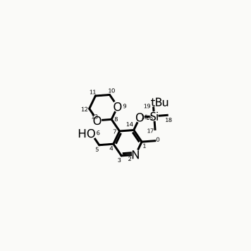 Cc1ncc(CO)c(C2OCCCO2)c1O[Si](C)(C)C(C)(C)C